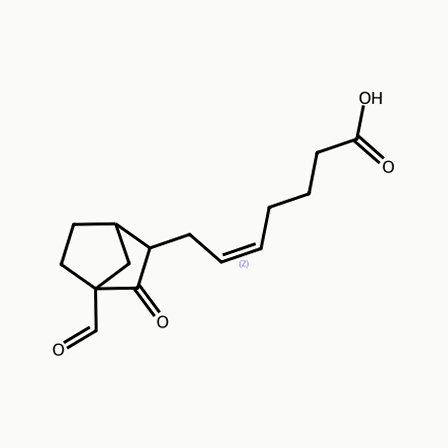 O=CC12CCC(C1)C(C/C=C\CCCC(=O)O)C2=O